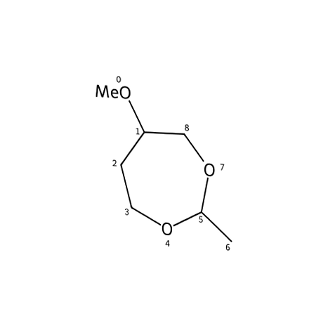 COC1CCOC(C)OC1